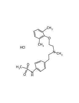 Cc1cccc(C)c1OCCN(C)CCc1ccc(NS(C)(=O)=O)cc1.Cl